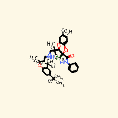 CCC(C)(C)c1ccc(OC(C)CCNCC(C)(C)C(=O)C(Cl)(Oc2ccc(C(=O)O)cc2)C(=O)Nc2ccccc2)c(C(C)(C)CC)c1